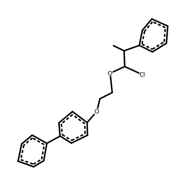 CC(c1ccccc1)C(Cl)OCCOc1ccc(-c2ccccc2)cc1